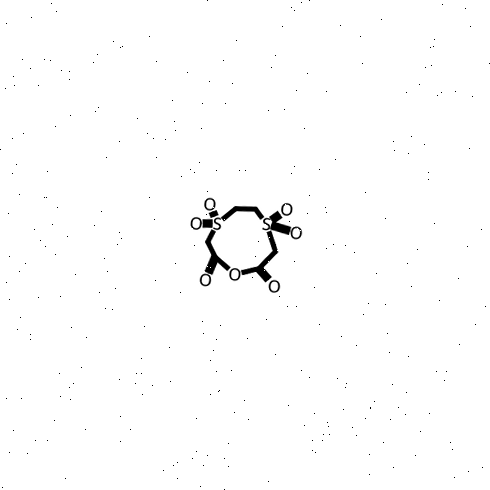 O=C1CS(=O)(=O)CCS(=O)(=O)CC(=O)O1